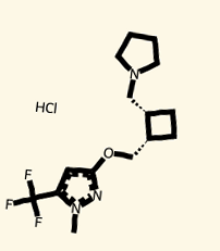 Cl.Cn1nc(OC[C@H]2CC[C@H]2CN2CCCC2)cc1C(F)(F)F